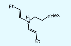 CCC=C[SiH](C=CCC)CCCCCCCC